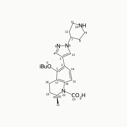 CC(C)COc1c(-c2cnn(C3CCNCC3)c2)ccc2c1CC[C@H](C)N2C(=O)O